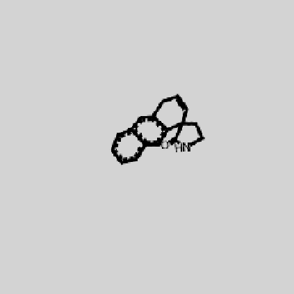 O=C1NCCC12C=CCc1cc3ccccc3cc12